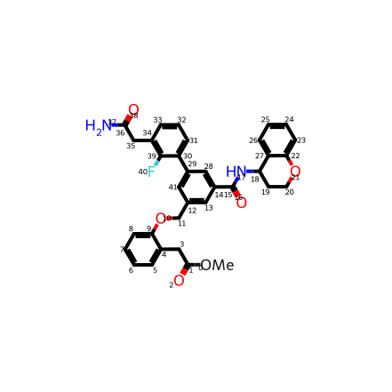 COC(=O)Cc1ccccc1OCc1cc(C(=O)NC2CCOc3ccccc32)cc(-c2cccc(CC(N)=O)c2F)c1